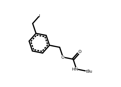 CC(C)(C)NC(=O)OCc1cccc(CI)c1